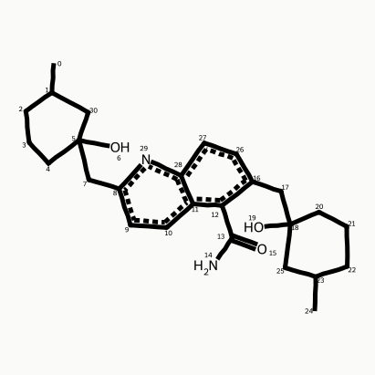 CC1CCCC(O)(Cc2ccc3c(C(N)=O)c(CC4(O)CCCC(C)C4)ccc3n2)C1